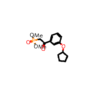 COP(=O)(CC(=O)c1cccc(OC2CCCC2)c1)OC